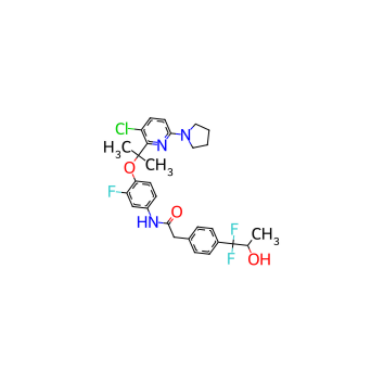 CC(O)C(F)(F)c1ccc(CC(=O)Nc2ccc(OC(C)(C)c3nc(N4CCCC4)ccc3Cl)c(F)c2)cc1